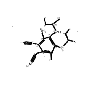 CCC(C)Oc1c(C)c(C#N)c(C#N)c(P)c1PC(C)CC